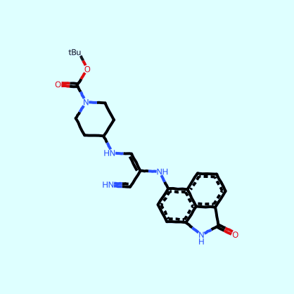 CC(C)(C)OC(=O)N1CCC(N/C=C(\C=N)Nc2ccc3c4c(cccc24)C(=O)N3)CC1